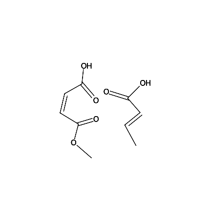 C/C=C/C(=O)O.COC(=O)/C=C\C(=O)O